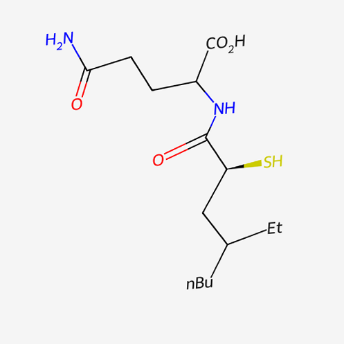 CCCCC(CC)C[C@H](S)C(=O)NC(CCC(N)=O)C(=O)O